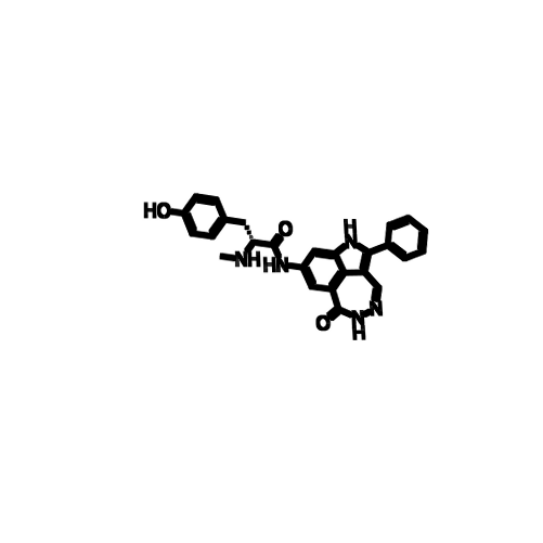 CN[C@H](Cc1ccc(O)cc1)C(=O)Nc1cc2c3c(c(-c4ccccc4)[nH]c3c1)C=NNC2=O